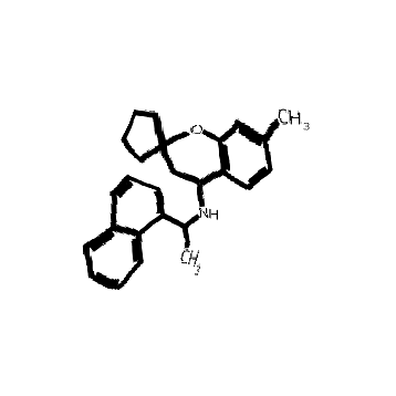 Cc1ccc2c(c1)OC1(CCCC1)CC2NC(C)c1cccc2ccccc12